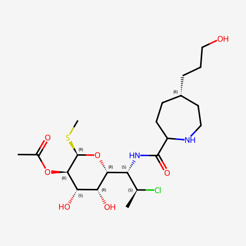 CS[C@H]1O[C@H]([C@H](NC(=O)C2CC[C@H](CCCO)CCN2)[C@H](C)Cl)[C@H](O)[C@H](O)[C@H]1OC(C)=O